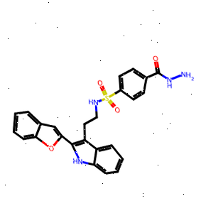 NNC(=O)c1ccc(S(=O)(=O)NCCc2c(-c3cc4ccccc4o3)[nH]c3ccccc23)cc1